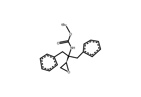 CC(C)(C)OC(=O)NC(Cc1ccccc1)(Cc1ccccc1)[C@@H]1CO1